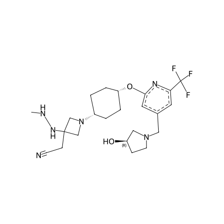 CNNC1(CC#N)CN([C@H]2CC[C@@H](Oc3cc(CN4CC[C@@H](O)C4)cc(C(F)(F)F)n3)CC2)C1